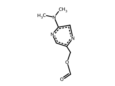 CN(C)c1cnc(COC=O)cn1